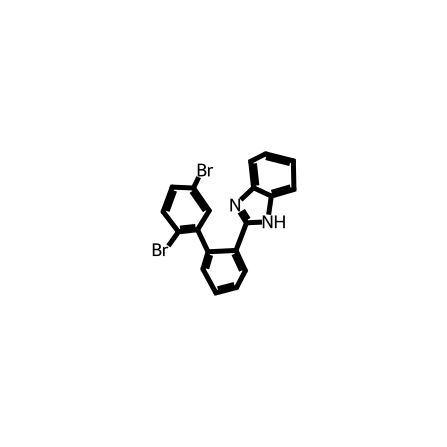 Brc1ccc(Br)c(-c2ccccc2-c2nc3ccccc3[nH]2)c1